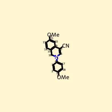 COc1ccc(N2C=C(C#N)c3cc(OC)ccc3C2)cc1